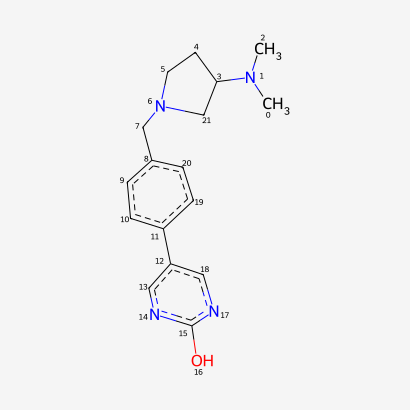 CN(C)C1CCN(Cc2ccc(-c3cnc(O)nc3)cc2)C1